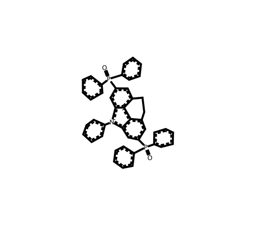 O=P(c1ccccc1)(c1ccccc1)c1cc2c3c4c(cc(P(=O)(c5ccccc5)c5ccccc5)cc4n(-c4ccccc4)c3c1)CC2